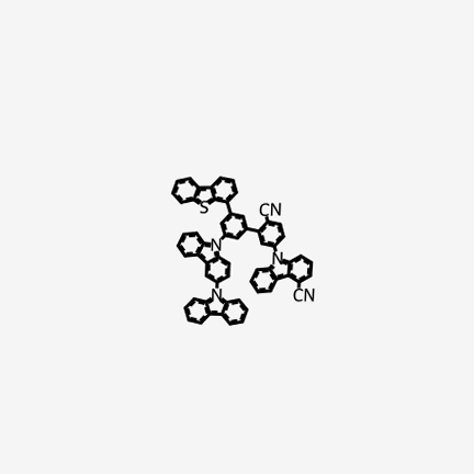 N#Cc1ccc(-n2c3ccccc3c3c(C#N)cccc32)cc1-c1cc(-c2cccc3c2sc2ccccc23)cc(-n2c3ccccc3c3cc(-n4c5ccccc5c5ccccc54)ccc32)c1